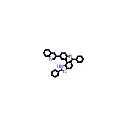 c1ccc(-c2nc3ccc(-c4cnc5ccccc5c4)cc3c3c4c(ccc23)OC(c2ccccc2)N4)cc1